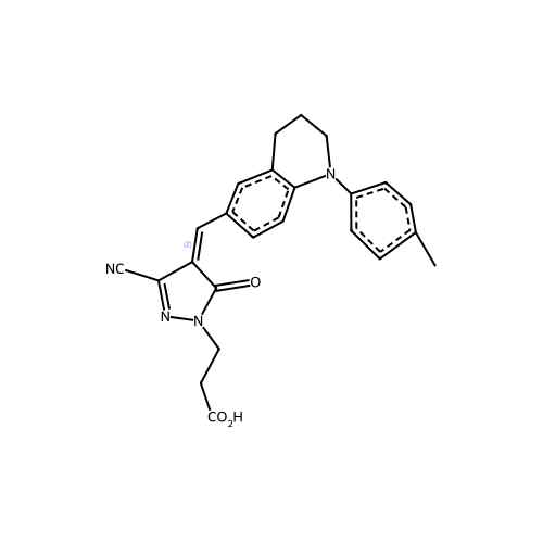 Cc1ccc(N2CCCc3cc(/C=C4\C(=O)N(CCC(=O)O)N=C4C#N)ccc32)cc1